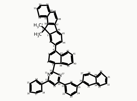 CC1(C)c2cc(-c3ccc(-c4nc(-c5ccccc5)cc(-c5cccc(-c6ccc7ccccc7c6)c5)n4)c4ccccc34)ccc2-c2ccc3ccccc3c21